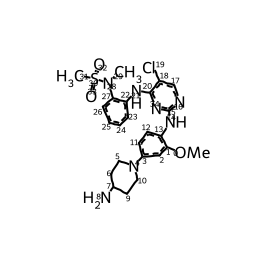 COc1cc(N2CCC(N)CC2)ccc1Nc1ncc(Cl)c(Nc2ccccc2N(C)S(C)(=O)=O)n1